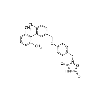 Cc1cccc(C)c1-c1cc(COc2ccc(Cn3oc(=O)[nH]c3=O)cc2)ccc1Cl